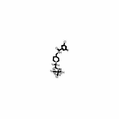 [2H]C([2H])(C(=O)NC(C([2H])([2H])[2H])(C([2H])([2H])[2H])C([2H])([2H])[2H])N1CCC(CNC(=O)c2cc(F)cc(Cl)c2)CC1